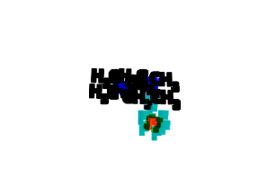 C[N+](C)(C)C.C[N+](C)(C)C.F[P-](F)(F)(F)(F)F.[F-]